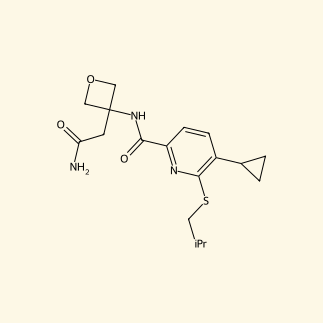 CC(C)CSc1nc(C(=O)NC2(CC(N)=O)COC2)ccc1C1CC1